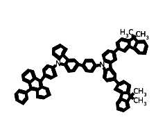 CC1(C)c2ccccc2-c2cc(-c3ccc4c(c3)c3cc(-c5ccc6c(c5)-c5ccccc5C6(C)C)ccc3n4-c3ccc(-c4ccc5c(c4)c4ccccc4n5-c4ccc(-c5c6ccccc6c(-c6ccccc6)c6ccccc56)cc4)cc3)ccc21